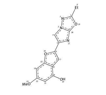 CCc1nn2cc(-c3cc4c(O)cc(OC)cc4o3)nc2o1